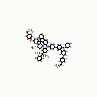 C=CC1CC=C(OC2CC=C(C3(C4C[C@H](C)CCC4C)C4CC(N(C5CC=C(C(C)(C)C6=CCCC=C6)CC5)C5CCC(C6=CC7=C(CC6)N(C6CCCCC6)C6CCC(C8=CCC(C=C)CC8)CC76)CC5)C=CC4C4CCCCC43)CC2)CC1